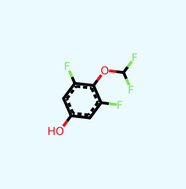 Oc1cc(F)c(OC(F)F)c(F)c1